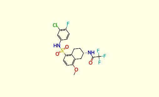 COc1ccc(S(=O)(=O)Nc2ccc(F)c(Cl)c2)c2c1C[C@@H](NC(=O)C(F)(F)F)CC2